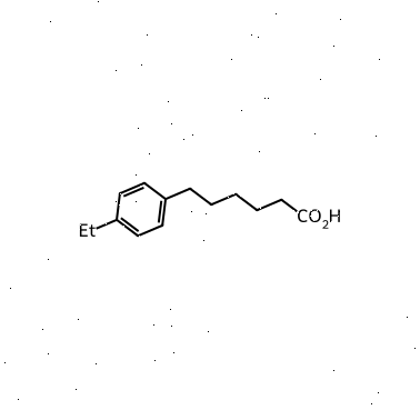 CCc1ccc(CCCCCC(=O)O)cc1